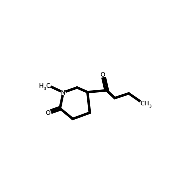 CCCC(=O)C1CCC(=O)N(C)C1